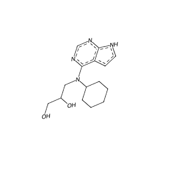 OCC(O)CN(c1ncnc2[nH]ccc12)C1CCCCC1